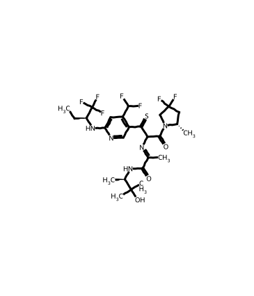 CC[C@H](Nc1cc(C(F)F)c(C(=S)C(/N=C(\C)C(=O)N[C@H](C)C(C)(C)O)C(=O)N2CC(F)(F)C[C@@H]2C)cn1)C(F)(F)F